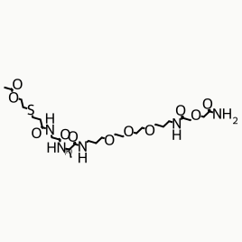 CC(=O)OCCSCCC(=O)NCC(=O)N[C@H](C)C(=O)NCCCOCCOCCOCCCNC(=O)COCC(N)=O